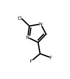 FC(F)C1=[C][N]C(Cl)=N1